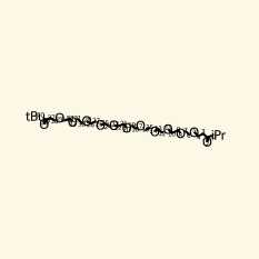 CC(C)C(=O)CCOCCOCCOCCOCCOCCOCCOCCOCCOCCOCCOCCC(=O)C(C)(C)C